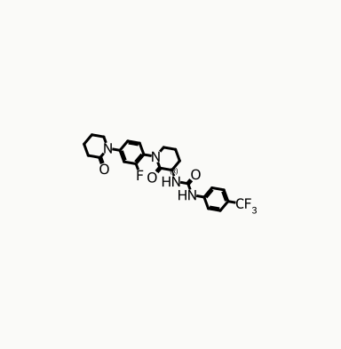 O=C(Nc1ccc(C(F)(F)F)cc1)N[C@@H]1CCCN(c2ccc(N3CCCCC3=O)cc2F)C1=O